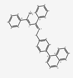 N/C(=N\C(=N/Cc1ccc(-c2ccnc3ccccc23)cc1)c1ccccc1)c1ccccc1